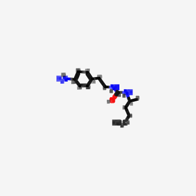 CC(CCC(=O)O)NC(=O)NCCc1ccc(N)cc1